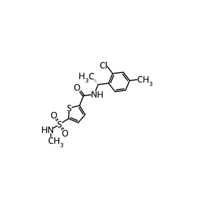 CNS(=O)(=O)c1ccc(C(=O)N[C@H](C)c2ccc(C)cc2Cl)s1